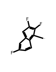 [CH2]c1c(F)c(F)cc2cc(F)ccc12